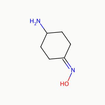 NC1CCC(=NO)CC1